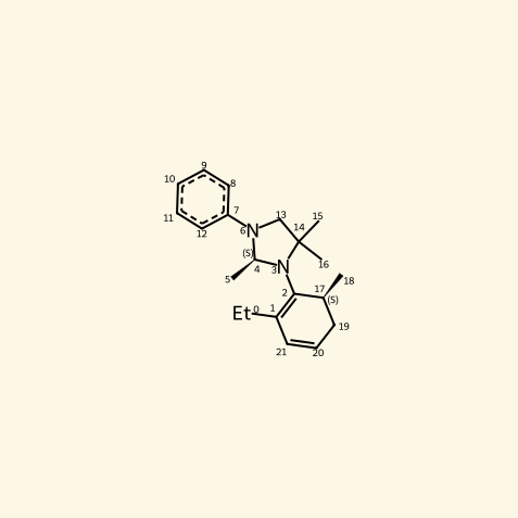 CCC1=C(N2[C@@H](C)N(c3ccccc3)CC2(C)C)[C@@H](C)CC=C1